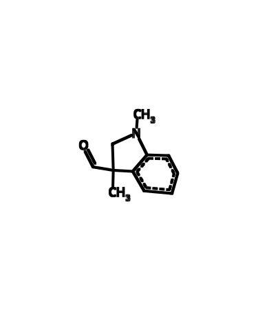 CN1CC(C)(C=O)c2ccccc21